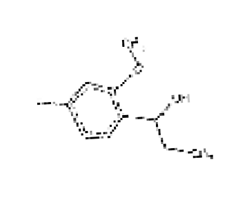 CCC(O)c1ccc(F)cc1OC